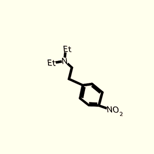 CCN(CC)CCc1ccc([N+](=O)[O-])cc1